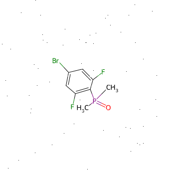 CP(C)(=O)c1c(F)cc(Br)cc1F